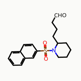 O=CCCCC1CCCCN1S(=O)(=O)c1ccc2ccccc2c1